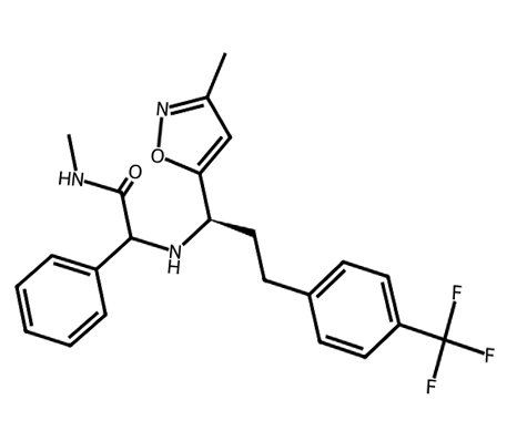 CNC(=O)C(N[C@H](CCc1ccc(C(F)(F)F)cc1)c1cc(C)no1)c1ccccc1